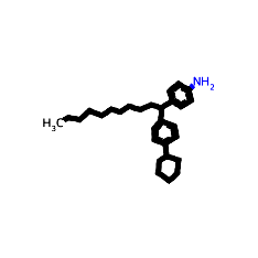 CCCCCCCCCCC(c1ccc(N)cc1)c1ccc(C2CCCCC2)cc1